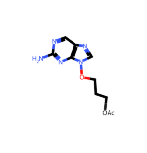 CC(=O)OCCCOn1cnc2cnc(N)nc21